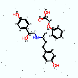 CC(CCc1ccc(O)cc1)NCC(O)c1ccc(O)cc1.O=C(O)COc1ccccc1